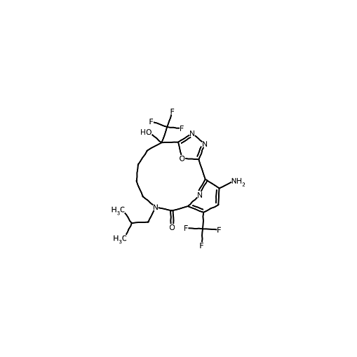 CC(C)CN1CCCCC(O)(C(F)(F)F)c2nnc(o2)-c2nc(c(C(F)(F)F)cc2N)C1=O